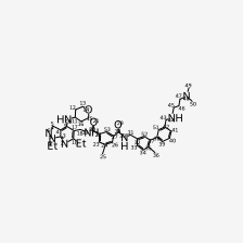 CCc1nc2c(cnn2CC)c(NC2CCOCC2)c1CNC(=O)c1cc(C)cc(C(=O)NCc2ccc(C)c(-c3cccc(CNCCCN(C)C)c3)c2)c1